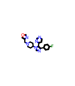 Fc1ccc(-c2ncn(C3CCN(Cc4cocn4)CC3)c2-c2ccncn2)cc1